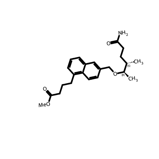 COC(=O)CCCc1cccc2cc(CO[C@H](C)[C@@H](C)CCC(N)=O)ccc12